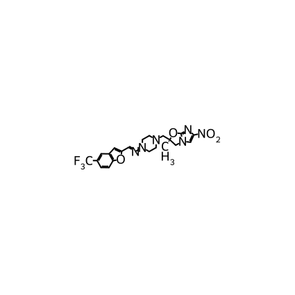 C[C@@]1(CN2CCN(/N=C/c3cc4cc(C(F)(F)F)ccc4o3)CC2)Cn2cc([N+](=O)[O-])nc2O1